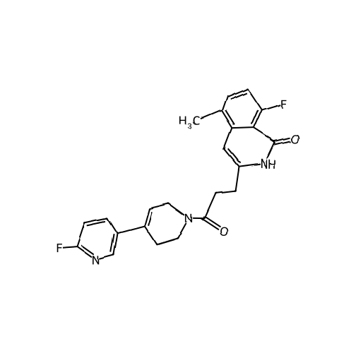 Cc1ccc(F)c2c(=O)[nH]c(CCC(=O)N3CC=C(c4ccc(F)nc4)CC3)cc12